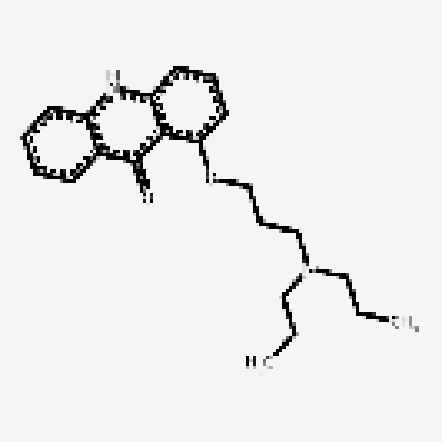 CCCN(CCC)CCCOc1cccc2[nH]c3ccccc3c(=O)c12